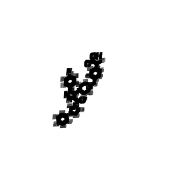 CC(C(=O)O)c1ccc(CN2CCC(c3c(C(=O)N4CC[C@H](c5ccccc5)C4)cnn3-c3ccc(F)cc3)CC2)cc1